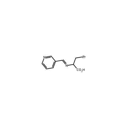 CC(C)CC(N=Cc1cccnc1)C(=O)O